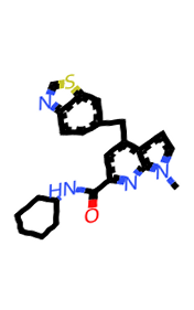 Cn1ccc2c(Cc3ccc4ncsc4c3)cc(C(=O)NC3CCCCC3)nc21